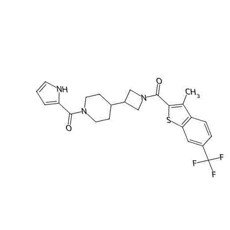 Cc1c(C(=O)N2CC(C3CCN(C(=O)c4ccc[nH]4)CC3)C2)sc2cc(C(F)(F)F)ccc12